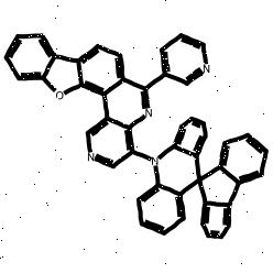 c1cncc(-c2nc3c(N4c5ccccc5C5(c6ccccc6-c6ccccc65)c5ccccc54)cncc3c3c2ccc2c4ccccc4oc23)c1